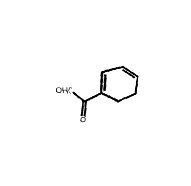 O=CC(=O)C1=CC=CCC1